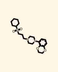 O=S(=O)(CCCN1CCN(c2cccc3c2OCCO3)CC1)C1CCCCC1